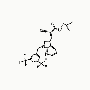 CC(C)COC(=O)/C(C#N)=C/c1cn(Cc2cc(C(F)(F)F)cc(C(F)(F)F)c2)c2ncccc12